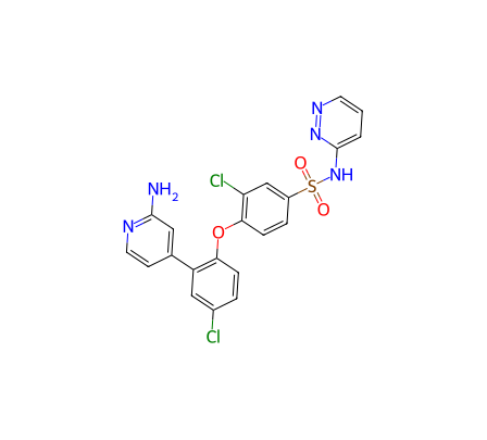 Nc1cc(-c2cc(Cl)ccc2Oc2ccc(S(=O)(=O)Nc3cccnn3)cc2Cl)ccn1